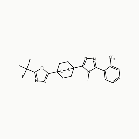 Cn1c(-c2ccccc2C(F)(F)F)nnc1C12CCC(c3nnc(C(C)(F)F)o3)(CC1)CC2